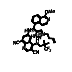 C=CCCN1C=C([C@@H](Nc2cc(C#N)c3ncc(C#N)c(NCC(C)(C)C(F)(F)F)c3c2)c2cccc3c(OC)nccc23)NN1